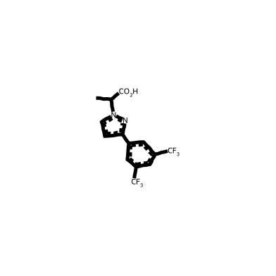 CC(C(=O)O)n1ccc(-c2cc(C(F)(F)F)cc(C(F)(F)F)c2)n1